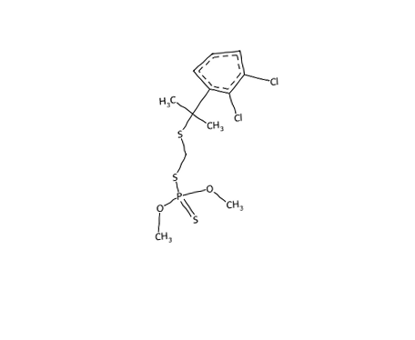 COP(=S)(OC)SCSC(C)(C)c1cccc(Cl)c1Cl